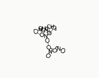 CC1(C)c2ccccc2-c2ccc(N(c3ccc(-c4ccc5c(c4)c4c6ccn(-c7ccccc7)c6ccc4n5-c4ccccc4)cc3)c3ccc4c(c3)C(C)(C)c3ccccc3-4)cc21